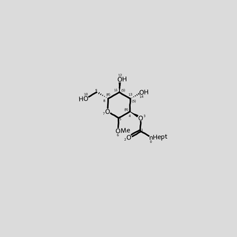 CCCCCCCC(=O)O[C@H]1C(OC)O[C@H](CO)[C@@H](O)[C@@H]1O